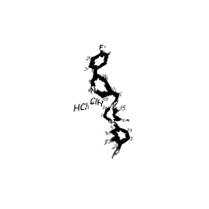 Cl.Cl.Fc1ccc(-c2cncc(CN3CCN(c4ccc(F)cc4)CC3)c2)cc1